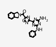 Nc1nc(Nc2ccccc2)nc(-c2noc(C(=O)N3Cc4ccccc4C3)n2)n1